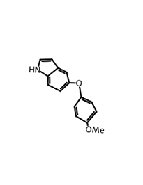 COc1ccc(Oc2ccc3[nH]ccc3c2)cc1